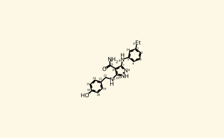 CCc1cccc(Nc2n[nH]c(NCc3ccc(O)cc3)c2C(N)=O)c1